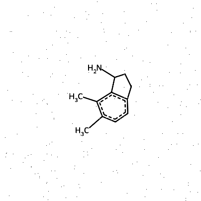 Cc1ccc2c(c1C)C(N)CC2